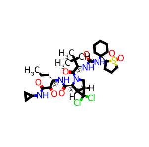 CCC[C@H](NC(=O)[C@@H]1[C@@H]2[C@H](CN1C(=O)[C@@H](NC(=O)NC1([C@H]3CCCS3(=O)=O)CCCCC1)C(C)(C)C)C2(Cl)Cl)C(=O)C(=O)NC1CC1